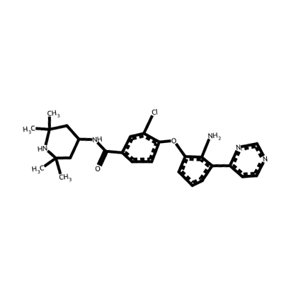 CC1(C)CC(NC(=O)c2ccc(Oc3cccc(-c4ccncn4)c3N)c(Cl)c2)CC(C)(C)N1